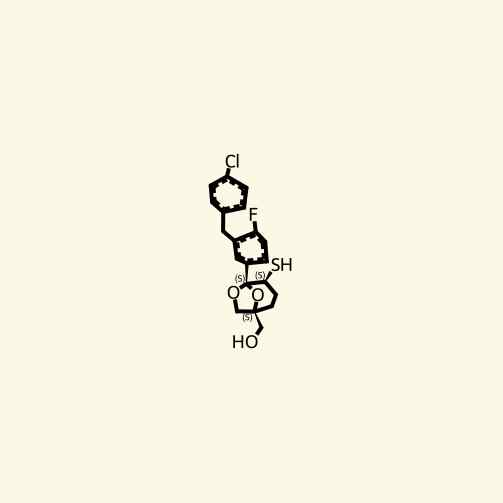 OC[C@@]12CC[C@H](S)[C@@](c3ccc(F)c(Cc4ccc(Cl)cc4)c3)(OC1)O2